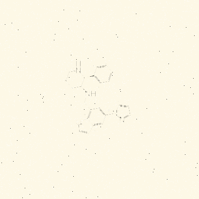 c1ccc([C@@H]2NCCC[C@@H]2NCc2cc(-n3cccn3)cc3ccoc23)cc1